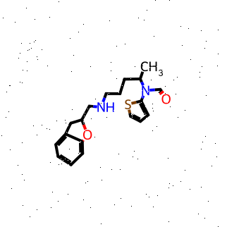 CC(CCCNCC1Cc2ccccc2O1)N(C=O)c1cccs1